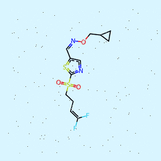 O=S(=O)(CCC=C(F)F)c1ncc(/C=N\OCC2CC2)s1